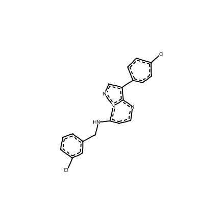 Clc1ccc(-c2cnn3c(NCc4cccc(Cl)c4)ccnc23)cc1